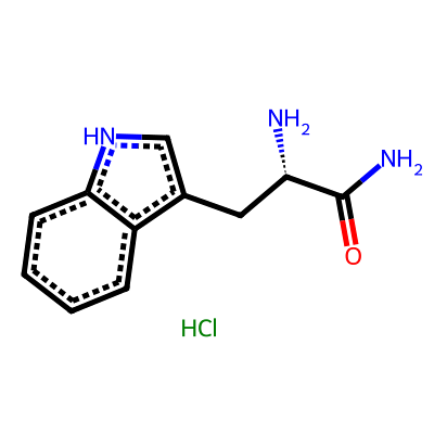 Cl.NC(=O)[C@@H](N)Cc1c[nH]c2ccccc12